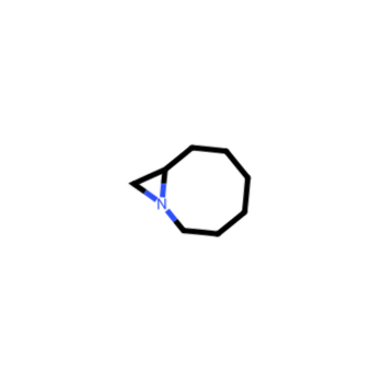 C1CCCN2CC2CC1